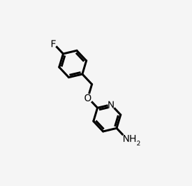 Nc1ccc(OCc2ccc(F)cc2)nc1